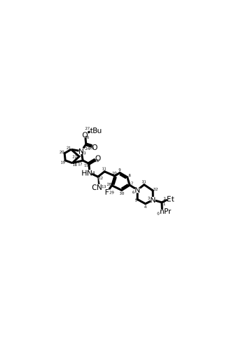 CCCC(CC)N1CCN(c2ccc(C[C@@H](C#N)NC(=O)C3C4CCC(C4)N3C(=O)OC(C)(C)C)c(F)c2)CC1